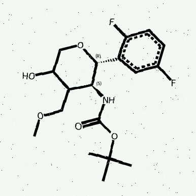 COCC1C(O)CO[C@H](c2cc(F)ccc2F)[C@H]1NC(=O)OC(C)(C)C